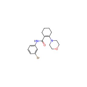 O=C(Nc1cccc(Br)c1)C1=C(N2CCOCC2)CCCC1